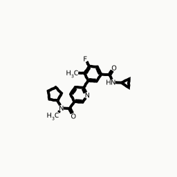 Cc1c(F)cc(C(=O)NC2CC2)cc1-c1ccc(C(=O)N(C)C2CCCC2)cn1